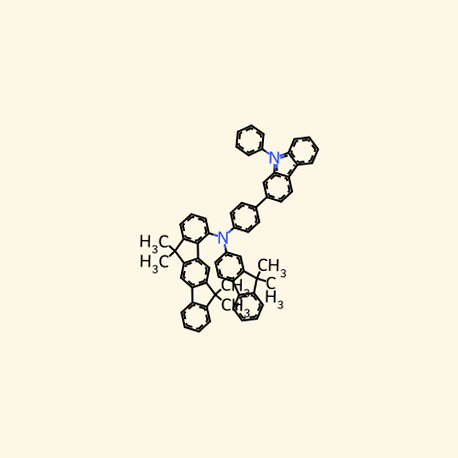 CC1(C)c2ccccc2-c2ccc(N(c3ccc(-c4ccc5c6ccccc6n(-c6ccccc6)c5c4)cc3)c3cccc4c3-c3cc5c(cc3C4(C)C)-c3ccccc3C5(C)C)cc21